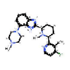 Cc1c(Cl)ccnc1[C@@H]1CCC[C@H](c2nc3cccc(N4CCN(C)CC4)c3[nH]2)N1C